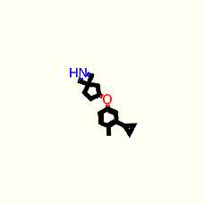 Cc1ccc(OC2CCC3(CNC3)C2)cc1C1CC1